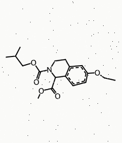 CCOc1ccc2c(c1)CCN(C(=O)OCC(C)C)C2C(=O)OC